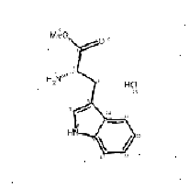 COC(=O)[C@@H](N)Cc1c[nH]c2ccccc12.Cl